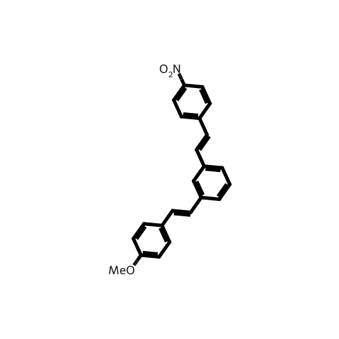 COc1ccc(C=Cc2cccc(C=Cc3ccc([N+](=O)[O-])cc3)c2)cc1